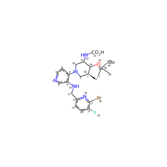 C[C@H]1CN(c2ccncc2NCc2ccc(F)c(Br)n2)CC(NC(=O)O)C1O[Si](C)(C)C(C)(C)C